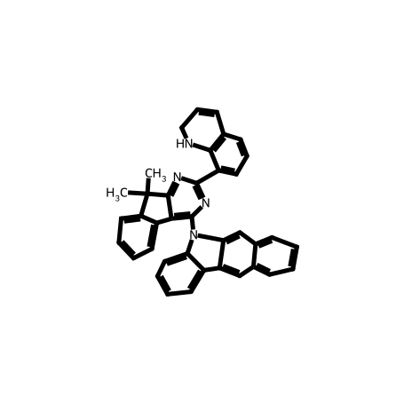 CC1(C)c2ccccc2-c2c(-n3c4ccccc4c4cc5ccccc5cc43)nc(-c3cccc4c3NCC=C4)nc21